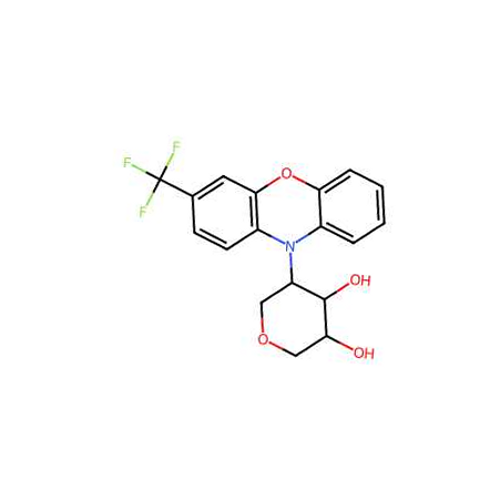 OC1COCC(N2c3ccccc3Oc3cc(C(F)(F)F)ccc32)C1O